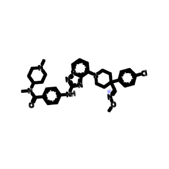 CO/N=C/C1(c2ccc(Cl)cc2)CCN(c2cccn3nc(Nc4ccc(C(=O)N(C)C5CCN(C)CC5)cc4)nc23)CC1